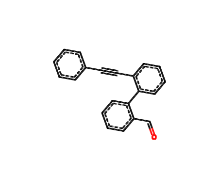 O=Cc1ccccc1-c1ccccc1C#Cc1ccccc1